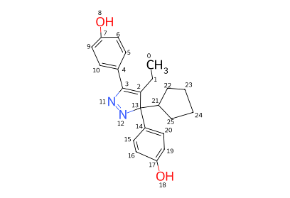 CCC1=C(c2ccc(O)cc2)N=NC1(c1ccc(O)cc1)C1CCCC1